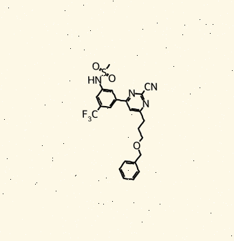 CS(=O)(=O)Nc1cc(-c2cc(CCCOCc3ccccc3)nc(C#N)n2)cc(C(F)(F)F)c1